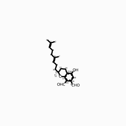 CC(C)=CCC/C(C)=C/CC[C@@]1(C)CCc2c(O)cc(C=O)c(C=O)c2O1